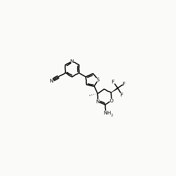 C[C@]1(c2cc(-c3cncc(C#N)c3)cs2)C[C@@H](C(F)(F)F)OC(N)=N1